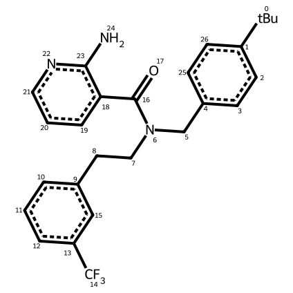 CC(C)(C)c1ccc(CN(CCc2cccc(C(F)(F)F)c2)C(=O)c2cccnc2N)cc1